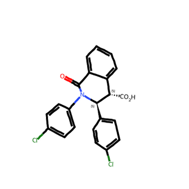 O=C(O)[C@H]1c2ccccc2C(=O)N(c2ccc(Cl)cc2)[C@@H]1c1ccc(Cl)cc1